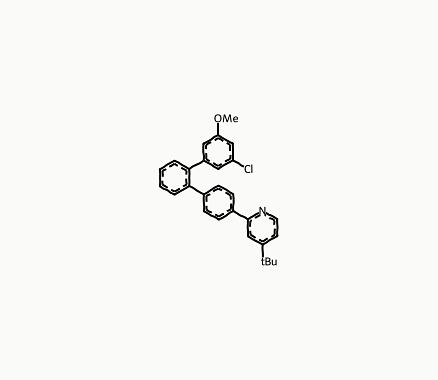 COc1cc(Cl)cc(-c2ccccc2-c2ccc(-c3cc(C(C)(C)C)ccn3)cc2)c1